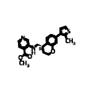 COC(=O)c1ccncc1NC[C@H]1CCOc2cc(-c3ccsc3C)ccc21